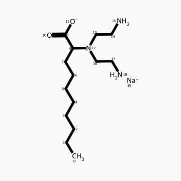 CCCCCCCCC(C(=O)[O-])N(CCN)CCN.[Na+]